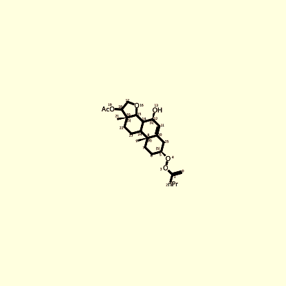 C=C(CCC)OO[C@H]1CC[C@@]2(C)C(=C[C@H](O)C3C4OCC(OC(C)=O)[C@@]4(C)CCC32)C1